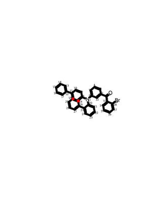 O=C(c1cccc(N(c2ccc(-c3ccccc3)cc2)c2ccccc2-c2ccccc2)c1)c1ccccc1Br